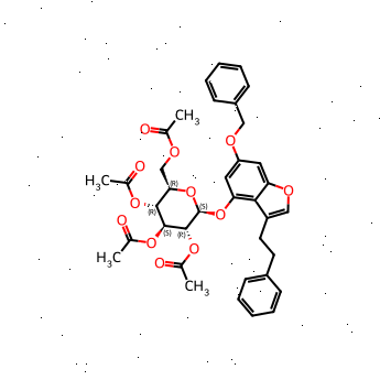 CC(=O)OC[C@H]1O[C@@H](Oc2cc(OCc3ccccc3)cc3occ(CCc4ccccc4)c23)[C@H](OC(C)=O)[C@@H](OC(C)=O)[C@@H]1OC(C)=O